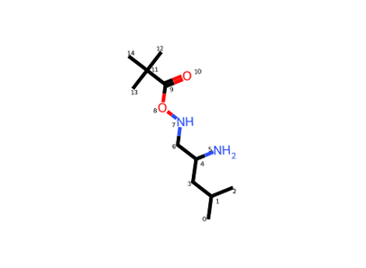 CC(C)CC(N)CNOC(=O)C(C)(C)C